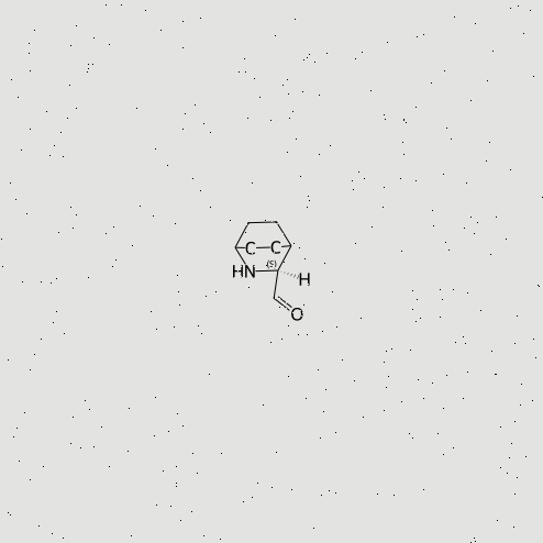 O=C[C@H]1NC2CCC1CC2